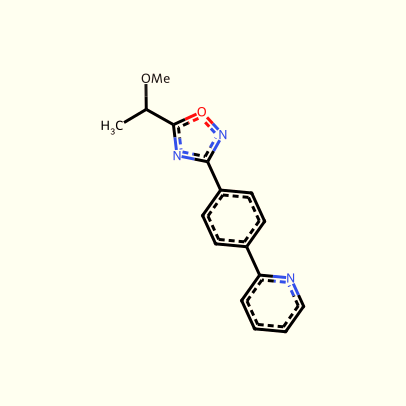 COC(C)c1nc(-c2ccc(-c3ccccn3)cc2)no1